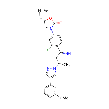 COc1cccc(-c2cnn([C@H](C)CC(=N)c3ccc(N4C[C@H](CNC(C)=O)OC4=O)cc3F)c2)c1